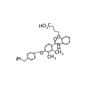 Cc1c(OCc2ccc(CC(C)C)cc2)ccc(C(=O)Nc2ccccc2OCCCC(=O)O)c1C